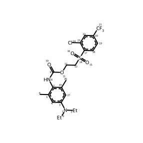 CCN(CC)c1cc(C)c(NC(=O)OCCS(=O)(=O)c2ccc(C(F)(F)F)cc2Cl)c(C)c1